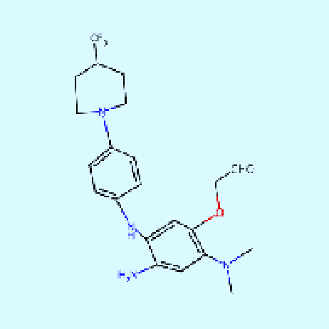 CN(C)c1cc(N)c(Nc2ccc(N3CCC(C(F)(F)F)CC3)cc2)cc1OCC=O